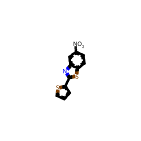 O=[N+]([O-])c1ccc2sc(-c3cccs3)nc2c1